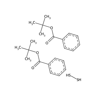 CC(C)(C)OC(=O)c1ccccc1.CC(C)(C)OC(=O)c1ccccc1.SS